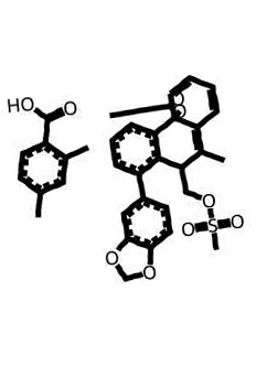 CC1=C2C=CC=C3OC(C)OC32c2cccc(-c3ccc4c(c3)OCO4)c2C1COS(C)(=O)=O.Cc1ccc(C(=O)O)c(C)c1